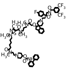 Cc1nc(N(C)CCCCCC(=O)N(C)CCN2CCC(OC(=O)Nc3ccccc3-c3ccccc3)CC2)sc1C(=O)N(C)CCCN(C)C(=O)CO[C@H]1Cc2ccccc2C12CCN(CC[C@@]1(c3ccc(F)cc3)CN(C(=O)c3cc(C(F)(F)F)cc(C(F)(F)F)c3)CO1)CC2